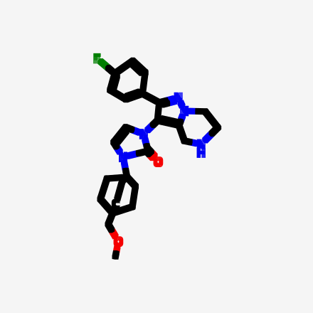 COCC12CCC(n3ccn(-c4c(-c5ccc(F)cc5)nn5c4CNCC5)c3=O)(CC1)CC2